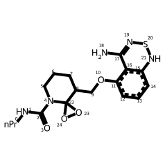 CCCNC(=O)N1CCCC(COc2cccc3c2C(N)=NSN3)C12OO2